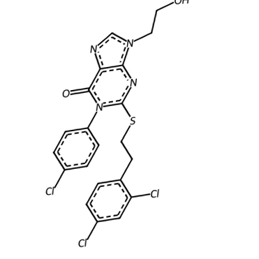 O=c1c2ncn(CCO)c2nc(SCCc2ccc(Cl)cc2Cl)n1-c1ccc(Cl)cc1